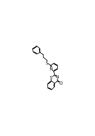 O=c1nc(-c2cccc(SCCCc3ccccc3)n2)sc2ccccc12